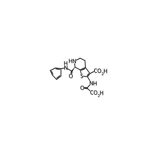 O=C(O)C(=O)Nc1sc2c(c1C(=O)O)CCN[C@@H]2C(=O)Nc1ccccc1